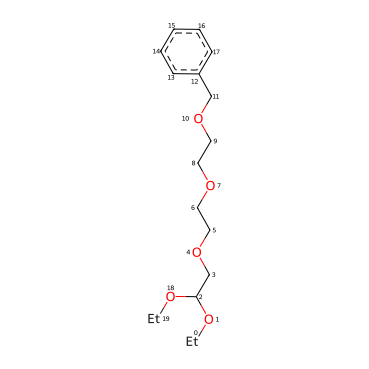 CCOC(COCCOCCOCc1ccccc1)OCC